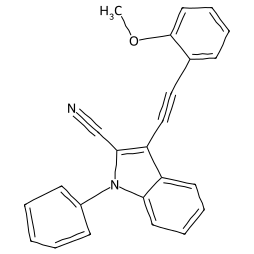 COc1ccccc1C#Cc1c(C#N)n(-c2ccccc2)c2ccccc12